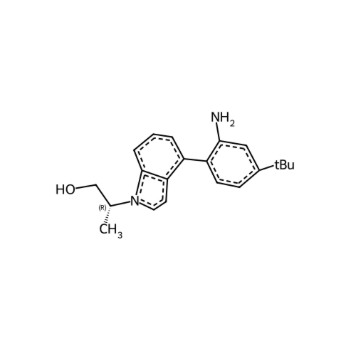 C[C@H](CO)n1ccc2c(-c3ccc(C(C)(C)C)cc3N)cccc21